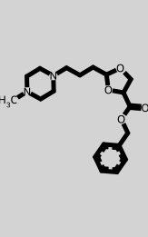 CN1CCN(CCCC2OCC(C(=O)OCc3ccccc3)O2)CC1